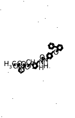 COC(=O)[C@@H]1CCCN1C(=O)OC(C)[n+]1cccc(CNC(=O)Nc2ccc(COc3ccccc3-c3ccccc3)cc2)c1